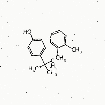 CC(C)(C)c1ccc(O)cc1.Cc1ccccc1C